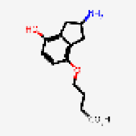 NC1Cc2c(O)ccc(OCCCC(=O)O)c2C1